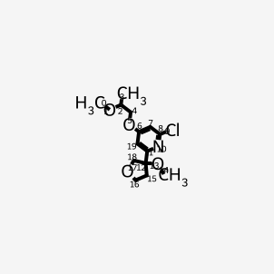 COC(C)COc1cc(Cl)nc(C2(OC)CCOC2)c1